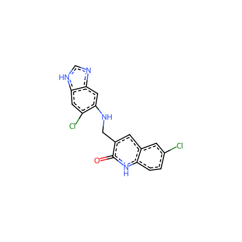 O=c1[nH]c2ccc(Cl)cc2cc1CNc1cc2nc[nH]c2cc1Cl